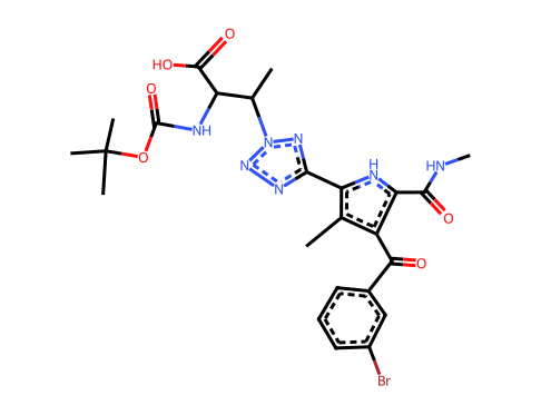 CNC(=O)c1[nH]c(-c2nnn(C(C)C(NC(=O)OC(C)(C)C)C(=O)O)n2)c(C)c1C(=O)c1cccc(Br)c1